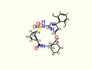 Cc1cccc(C)c1-c1cc2nc(n1)NS(=O)(=O)c1cccc(c1)C(=O)NCC1(CCCCC1)CO2